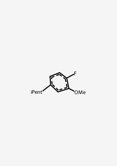 CCCC(C)c1ccc(F)c(OC)c1